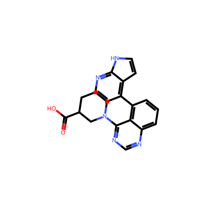 O=C(O)C1CCCN(c2ncnc3cccc(-c4ccnc5[nH]ccc45)c23)C1